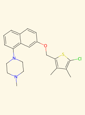 Cc1c(Cl)sc(COc2ccc3cccc(N4CCN(C)CC4)c3c2)c1C